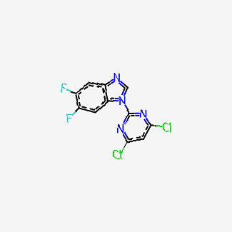 Fc1cc2ncn(-c3nc(Cl)cc(Cl)n3)c2cc1F